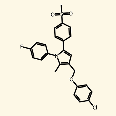 Cc1c(COc2ccc(Cl)cc2)cc(-c2ccc(S(C)(=O)=O)cc2)n1-c1ccc(F)cc1